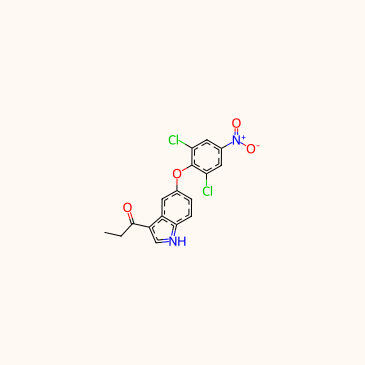 CCC(=O)c1c[nH]c2ccc(Oc3c(Cl)cc([N+](=O)[O-])cc3Cl)cc12